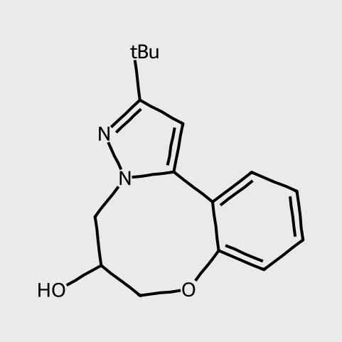 CC(C)(C)c1cc2n(n1)CC(O)COc1ccccc1-2